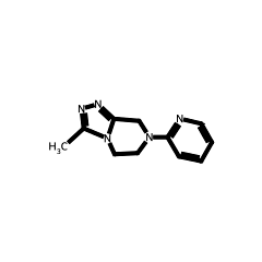 Cc1nnc2n1CCN(c1ccc[c]n1)C2